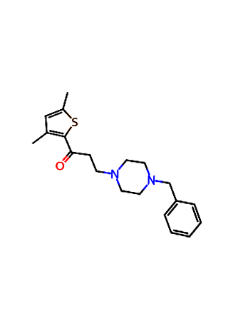 Cc1cc(C)c(C(=O)CCN2CCN(Cc3ccccc3)CC2)s1